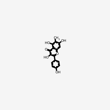 Cc1c(O)cc2oc(-c3ccc(O)cc3)c(O)c(=O)c2c1O